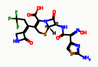 Nc1nc(C(=NO)C(=O)N[C@@H]2C(=O)N3C(C(=O)O)=C(C(CC(F)(F)F)=C4CNC4=O)CS[C@H]23)cs1